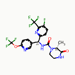 C[C@@H]1C(=O)NCCN1C(=O)N[C@@H](c1ccc(OC(F)(F)F)nc1)c1ccc(F)c(C(F)(F)F)n1